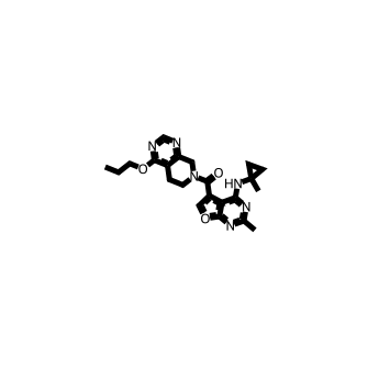 CCCOc1ncnc2c1CCN(C(=O)c1coc3nc(C)nc(NC4(C)CC4)c13)C2